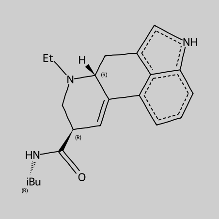 CC[C@@H](C)NC(=O)[C@@H]1C=C2c3cccc4[nH]cc(c34)C[C@H]2N(CC)C1